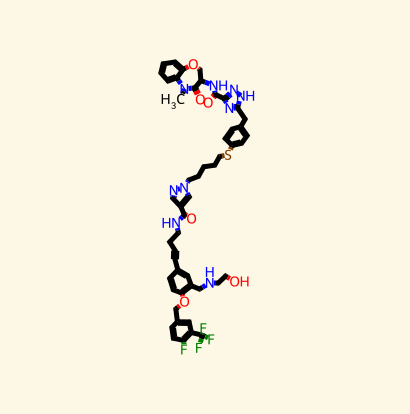 CN1C(=O)C(NC(=O)c2n[nH]c(Cc3ccc(SCCCCCn4cc(C(=O)NCCC#Cc5ccc(OCc6ccc(F)c(C(F)(F)F)c6)c(CNCCO)c5)cn4)cc3)n2)COc2ccccc21